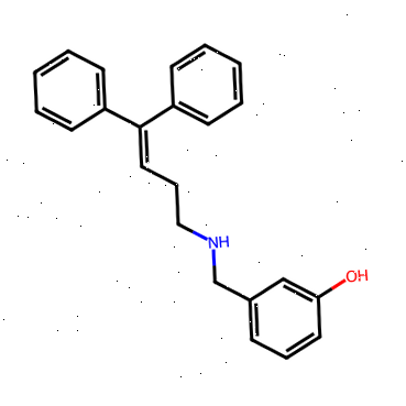 Oc1cccc(CNCCC=C(c2ccccc2)c2ccccc2)c1